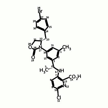 Cc1cc([C@@H](C)Nc2ccc(Cl)nc2C(=O)O)cc(N2C(=O)OC[C@@H]2Cc2ccc(Br)cc2)c1